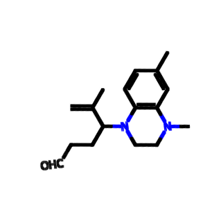 C=C(C)C(CCC=O)N1CCN(C)c2cc(C)ccc21